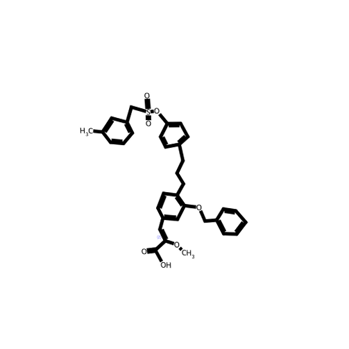 CO/C(=C\c1ccc(CCCc2ccc(OS(=O)(=O)Cc3cccc(C)c3)cc2)c(OCc2ccccc2)c1)C(=O)O